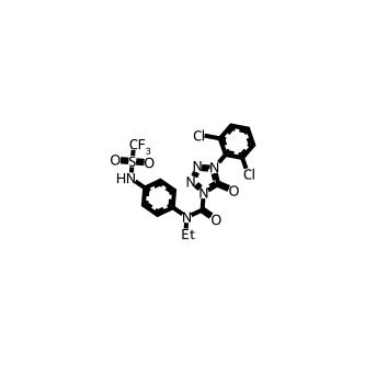 CCN(C(=O)n1nnn(-c2c(Cl)cccc2Cl)c1=O)c1ccc(NS(=O)(=O)C(F)(F)F)cc1